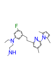 CCN(CCNC)c1cc(F)cc(CCc2cc(C)cc(-n3c(C)ccc3C)n2)c1